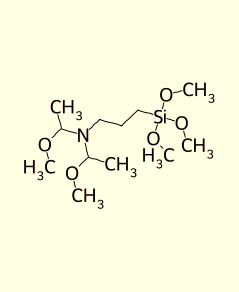 COC(C)N(CCC[Si](OC)(OC)OC)C(C)OC